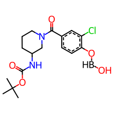 CC(C)(C)OC(=O)NC1CCCN(C(=O)c2ccc(OBO)c(Cl)c2)C1